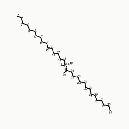 CCCCCCCCCCCCCCCC[N+](C)(C)C(C)CCCCCCCCCCCCCC